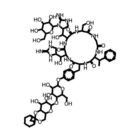 CC(c1ccccc1)C1NC(=O)CNC(=O)C(CO)NC(=O)C(C(O)C2CNC(=N)N2C2OC(CO)C(O)C(O)C2O)NC(=O)C(C(O)C2CNC(=N)N2)NC(=O)C(Cc2ccc(OC3OC(CO)C(OC4OC5COC6(OC5C(O)C4O)C4CCCC6CCC4)C(O)C3O)cc2)NC1=O